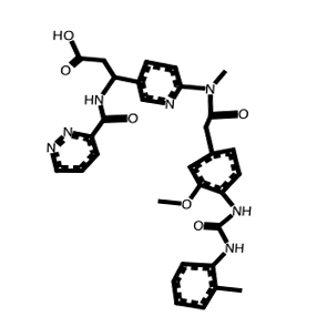 COc1cc(CC(=O)N(C)c2ccc(C(CC(=O)O)NC(=O)c3cccnn3)cn2)ccc1NC(=O)Nc1ccccc1C